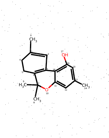 CC1=CC2=C(CC1)C(C)(C)Oc1cc(C)cc(O)c12